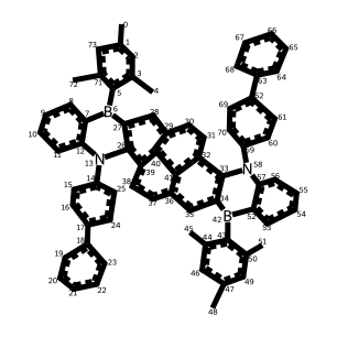 Cc1cc(C)c(B2c3ccccc3N(c3ccc(-c4ccccc4)cc3)c3c2cc2ccc4c5c(cc6ccc3c2c64)B(c2c(C)cc(C)cc2C)c2ccccc2N5c2ccc(-c3ccccc3)cc2)c(C)c1